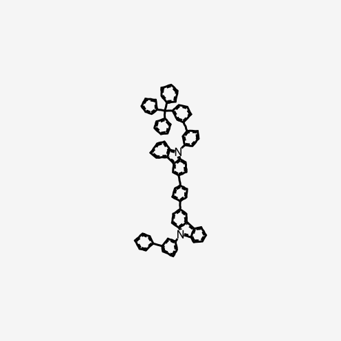 c1ccc(-c2cccc(-n3c4ccccc4c4cc(-c5ccc(-c6ccc7c(c6)c6ccccc6n7-c6cccc(-c7cccc(C(c8ccccc8)(c8ccccc8)c8ccccc8)c7)c6)cc5)ccc43)c2)cc1